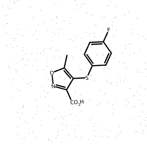 Cc1onc(C(=O)O)c1Sc1ccc(F)cc1